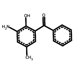 Cc1cc(N)c(O)c(C(=O)c2ccccc2)c1